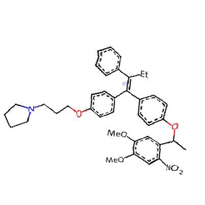 CC/C(=C(/c1ccc(OCCCN2CCCC2)cc1)c1ccc(OC(C)c2cc(OC)c(OC)cc2[N+](=O)[O-])cc1)c1ccccc1